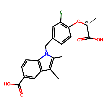 Cc1c(C)n(Cc2ccc(O[C@H](C)C(=O)O)c(Cl)c2)c2ccc(C(=O)O)cc12